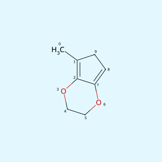 CC1=C2OCCOC2=CC1